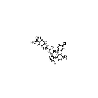 COc1ccc2c(c1)C(c1ccc(Cl)cc1)=N[C@@H](CC(=O)NCc1ccc(B(O)O)cc1)c1nnc(C)n1-2